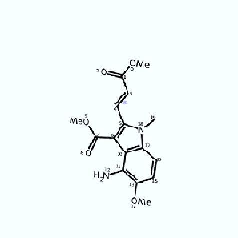 COC(=O)/C=C/c1c(C(=O)OC)c2c(N)c(OC)ccc2n1C